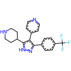 FC(F)(F)c1ccc(-c2n[nH]c(C3CCNCC3)c2-c2ccncc2)cc1